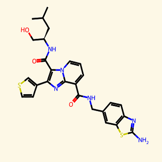 CC(C)C[C@H](CO)NC(=O)c1c(-c2ccsc2)nc2c(C(=O)NCc3ccc4nc(N)sc4c3)cccn12